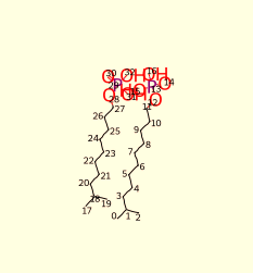 CC(C)CCCCCCCCCOP(=O)(O)O.CC(C)CCCCCCCCOP(=O)(O)O